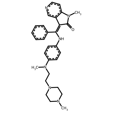 CN1CCN(CCN(C)c2ccc(N/C(=C3\C(=O)N(C)c4ccncc43)c3ccccc3)cc2)CC1